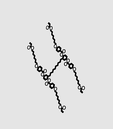 C=CC(=O)OCCCCCCCCOc1ccc(C(=O)Oc2ccc(OC(=O)c3ccc(OCCCCCCCCOC(=O)C=C)cc3)c(CCCCCCCCCCc3cc(OC(=O)c4ccc(OCCCCCCCCOC(=O)C=C)cc4)ccc3OC(=O)c3ccc(OCCCCCCCCOC(=O)C=C)cc3)c2)cc1